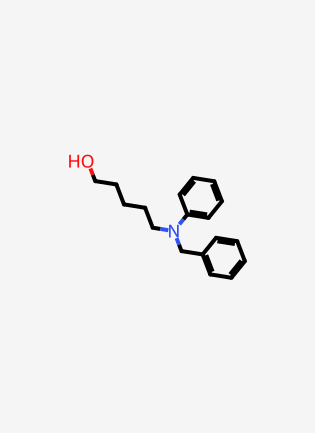 OCCCCCN(Cc1ccccc1)c1ccccc1